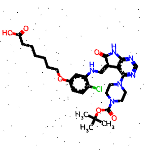 CC(C)(C)OC(=O)N1CCN(c2ncnc3c2/C(=C/Nc2cc(OCCCCCCC(=O)O)ccc2Cl)C(=O)N3)CC1